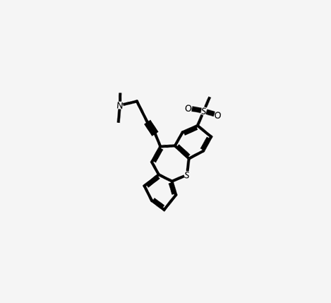 CN(C)CC#CC1=Cc2ccccc2Sc2ccc(S(C)(=O)=O)cc21